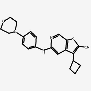 N#Cc1sc2cnc(Nc3ccc(N4CCOCC4)cc3)cc2c1C1CCC1